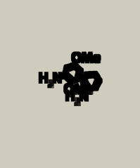 COc1ccc(OC)c(N)c1.Nc1ccccc1